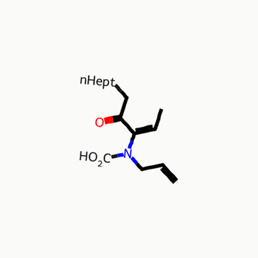 C=CCN(C(=O)O)C(=CC)C(=O)CCCCCCCC